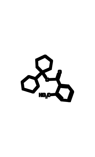 O=C(O)c1ccccc1C(=O)OC1(C2CCCCC2)CCCCC1